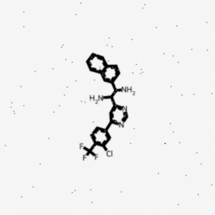 NC(c1ccc2ccccc2c1)C(N)c1cc(-c2ccc(C(F)(F)F)c(Cl)c2)ncn1